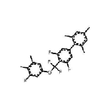 Cc1cc(C)c(-c2cc(F)c(C(F)(F)Oc3cc(C)c(C)c(F)c3)c(F)c2)c(C)c1